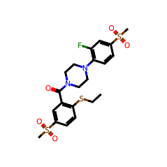 CCSc1ccc(S(C)(=O)=O)cc1C(=O)N1CCN(c2ccc(S(C)(=O)=O)cc2F)CC1